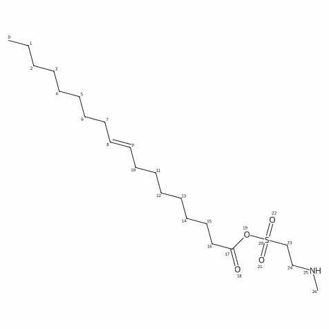 CCCCCCCCC=CCCCCCCCC(=O)OS(=O)(=O)CCNC